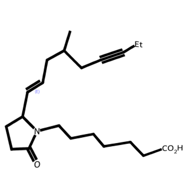 CCC#CCC(C)C/C=C/C1CCC(=O)N1CCCCCCC(=O)O